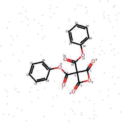 O=C1OC(=O)C1(C(=O)Oc1ccccc1)C(=O)Oc1ccccc1